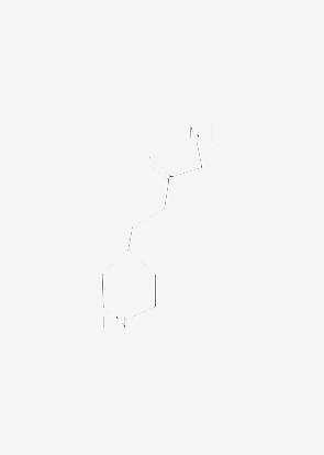 NCC(=O)CCC1CCNCC1